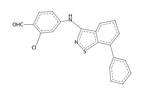 O=Cc1ccc(Nc2nsc3c(-c4ccccc4)cccc23)cc1Cl